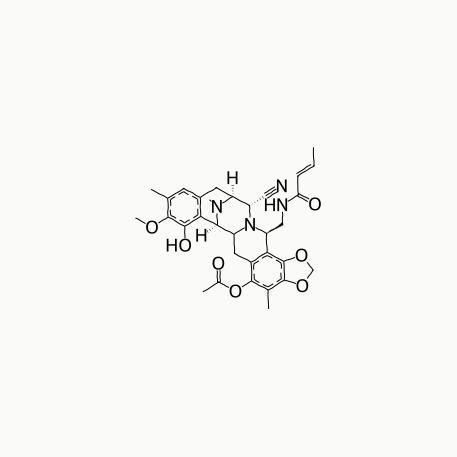 C/C=C/C(=O)NC[C@H]1c2c(c(OC(C)=O)c(C)c3c2OCO3)CC2[C@H]3c4c(cc(C)c(OC)c4O)C[C@@H]([C@H](C#N)N21)N3C